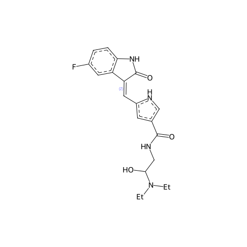 CCN(CC)C(O)CNC(=O)c1c[nH]c(/C=C2\C(=O)Nc3ccc(F)cc32)c1